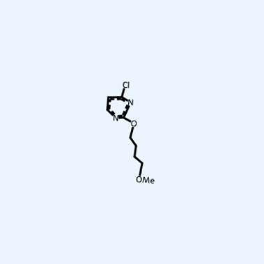 COCCCCOc1nccc(Cl)n1